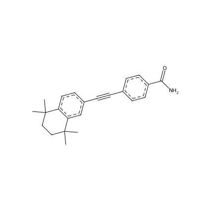 CC1(C)CCC(C)(C)c2cc(C#Cc3ccc(C(N)=O)cc3)ccc21